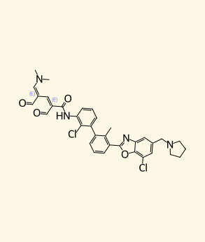 Cc1c(-c2nc3cc(CN4CCCC4)cc(Cl)c3o2)cccc1-c1cccc(NC(=O)/C(C=O)=C/C(C=O)=C\N(C)C)c1Cl